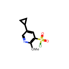 COc1ncc(C2CC2)cc1S(=O)(=O)Cl